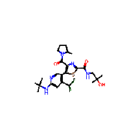 CC1CCCN1C(=O)c1nc(C(=O)NCC(C)(C)O)sc1-c1cnc(NC(C)(C)C)cc1C(F)F